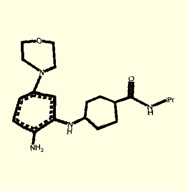 CC(C)NC(=O)C1CCC(Nc2cc(N3CCOCC3)ccc2N)CC1